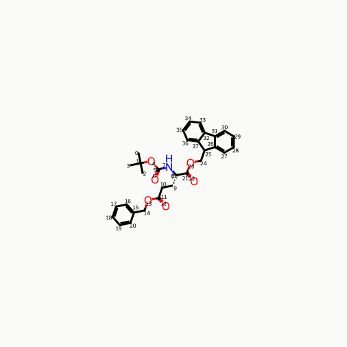 CC(C)(C)OC(=O)N[C@@H](CCC(=O)OCc1ccccc1)C(=O)OCC1c2ccccc2-c2ccccc21